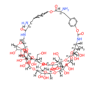 C[C@H]1NC(=O)Oc2ccc(cc2)C[C@H](N)C(=O)Oc2ccc(cc2)C[C@H](N)C(=O)NC[C@H]2O[C@@H]3O[C@H]4C(O)C(O)[C@H](O[C@@H]4CO)O[C@H]4C(O)C(O)[C@H](O[C@@H]4CO)O[C@H]4C(O)C(O)[C@H](O[C@@H]4CO)O[C@H]4C(O)C(O)[C@H](O[C@H]14)O[C@H]1C(O)C(O)[C@H](O[C@@H]1CO)O[C@H]1C(O)C(O)[C@H](O[C@@H]1CO)O[C@H]2C(O)C3O